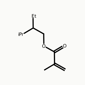 C=C(C)C(=O)OCC(CC)C(C)C